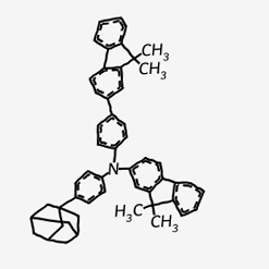 CC1(C)c2ccccc2-c2ccc(-c3ccc(N(c4ccc(C56CC7CC(CC(C7)C5)C6)cc4)c4ccc5c(c4)C(C)(C)c4ccccc4-5)cc3)cc21